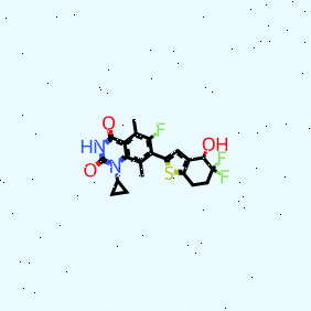 Cc1c(F)c(-c2cc3c(s2)CCC(F)(F)C3O)c(C)c2c1c(=O)[nH]c(=O)n2C1CC1